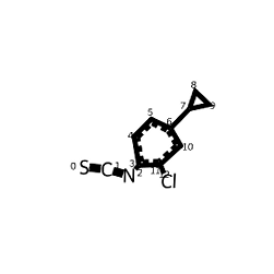 S=C=Nc1ccc(C2CC2)cc1Cl